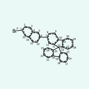 Brc1ccc2cc(-c3ccc4c(c3)C3(c5ccccc5-c5ccccc53)c3ccccc3-4)ccc2c1